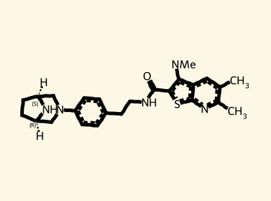 CNc1c(C(=O)NCCc2ccc(N3C[C@H]4CC[C@@H](C3)N4)cc2)sc2nc(C)c(C)cc12